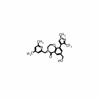 Cc1cc(C)nc(CN2CCOc3c(cc(CO)cc3-c3cn(C)nc3C(F)(F)F)C2=O)c1